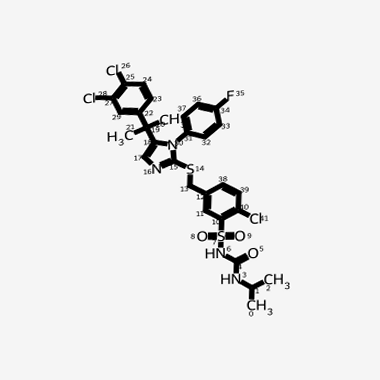 CC(C)NC(=O)NS(=O)(=O)c1cc(CSc2ncc(C(C)(C)c3ccc(Cl)c(Cl)c3)n2-c2ccc(F)cc2)ccc1Cl